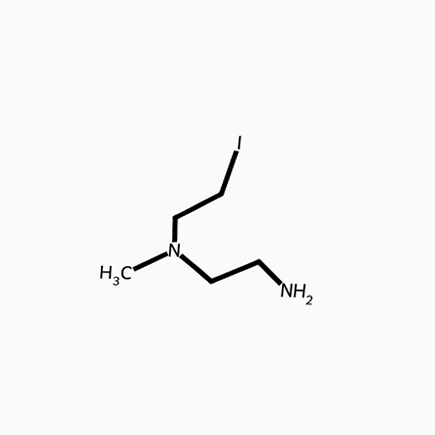 CN(CCN)CCI